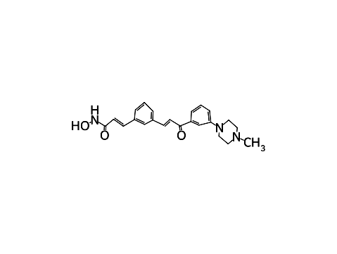 CN1CCN(c2cccc(C(=O)/C=C/c3cccc(/C=C/C(=O)NO)c3)c2)CC1